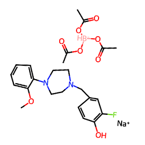 CC(=O)O[BH-](OC(C)=O)OC(C)=O.COc1ccccc1N1CCN(Cc2ccc(O)c(F)c2)CC1.[Na+]